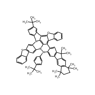 CC(C)(C)c1ccc(N2B3c4cc5c(cc4-n4c6ccc(C(C)(C)C)cc6c6c7oc8ccccc8c7c(c3c64)-c3cc4c(cc32)-c2cc3c(cc2C4(C)C)C(C)(C)CCC3(C)C)sc2ccccc25)cc1